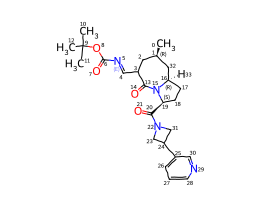 C[C@@H]1CC(/C=N/C(=O)OC(C)(C)C)C(=O)N2[C@H](CC[C@H]2C(=O)N2CC(c3cccnc3)C2)C1